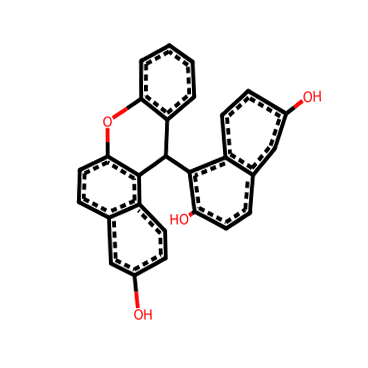 Oc1ccc2c(C3c4ccccc4Oc4ccc5cc(O)ccc5c43)c(O)ccc2c1